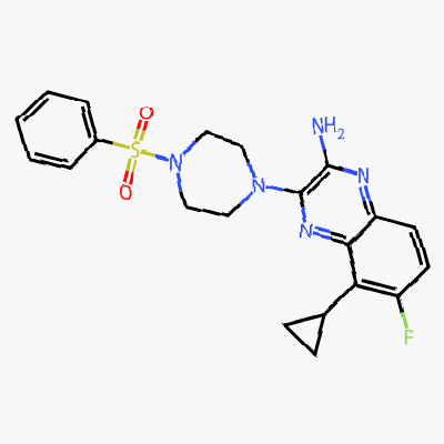 Nc1nc2ccc(F)c(C3CC3)c2nc1N1CCN(S(=O)(=O)c2ccccc2)CC1